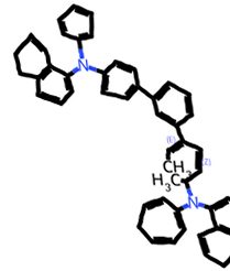 C/C=C(\C=C/C(C)N(C1=CC=CCC=C1)c1cccc2c1C=CCC2)c1cccc(-c2ccc(N(c3ccccc3)c3cccc4c3C=CCC4)cc2)c1